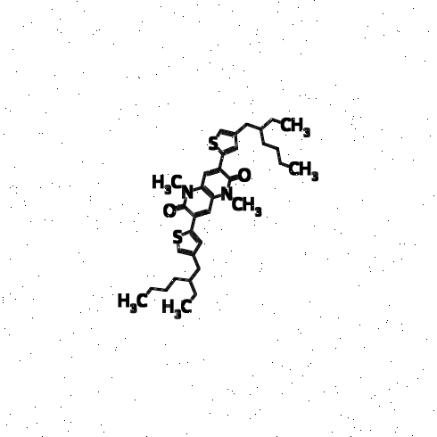 CCCCC(CC)Cc1csc(-c2cc3c(cc(-c4cc(CC(CC)CCCC)cs4)c(=O)n3C)n(C)c2=O)c1